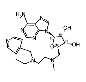 CCN(CCN(C)C[C@H]1O[C@@H](n2cnc3c(N)ncnc32)[C@H](O)[C@@H]1O)Cc1ccncc1